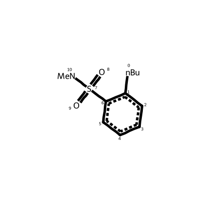 CCCCc1ccccc1S(=O)(=O)NC